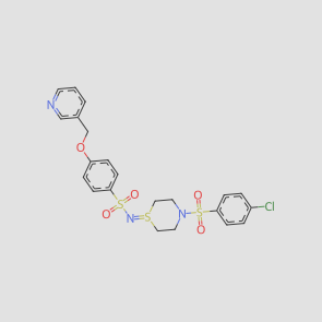 O=S(=O)(N=S1CCN(S(=O)(=O)c2ccc(Cl)cc2)CC1)c1ccc(OCc2cccnc2)cc1